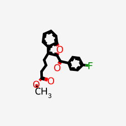 COC(=O)CCCc1c(C(=O)c2ccc(F)cc2)oc2ccccc12